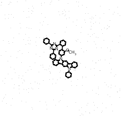 COc1cc(-n2c3ccccc3c3cc4c(cc32)c2ccccc2n4-c2ccccc2)ccc1-c1ccccc1-c1nc(-c2ccccc2)nc(-c2ccccc2)n1